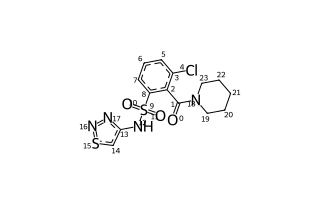 O=C(c1c(Cl)cccc1S(=O)(=O)Nc1csnn1)N1CCCCC1